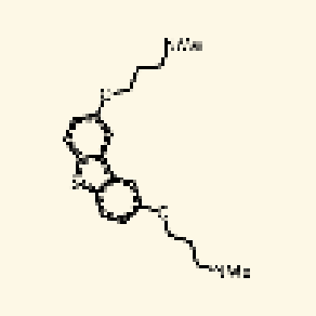 CNCCCOc1ccc2sc3ccc(OCCCNC)cc3c2c1